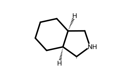 [CH]1NC[C@@H]2CCCC[C@H]12